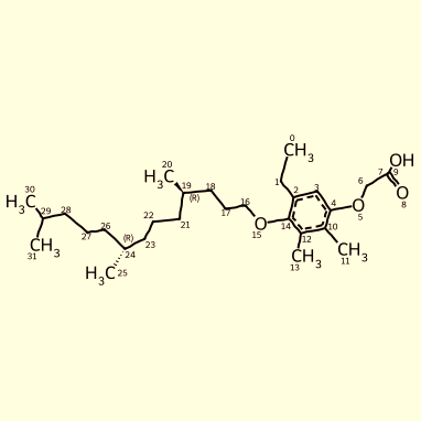 CCc1cc(OCC(=O)O)c(C)c(C)c1OCCC[C@H](C)CCC[C@H](C)CCCC(C)C